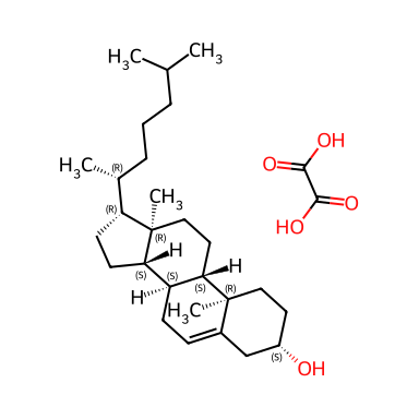 CC(C)CCC[C@@H](C)[C@H]1CC[C@H]2[C@@H]3CC=C4C[C@@H](O)CC[C@]4(C)[C@H]3CC[C@]12C.O=C(O)C(=O)O